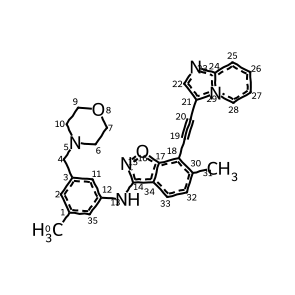 Cc1cc(CN2CCOCC2)cc(Nc2noc3c(C#Cc4cnc5ccccn45)c(C)ccc23)c1